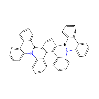 c1ccc2c(c1)B1c3ccc4c(c3-c3ccccc3N1c1ccccc1-2)-c1ccccc1N1B4c2ccccc2-c2ccccc21